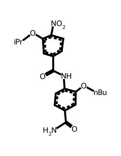 CCCCOc1cc(C(N)=O)ccc1NC(=O)c1ccc([N+](=O)[O-])c(OC(C)C)c1